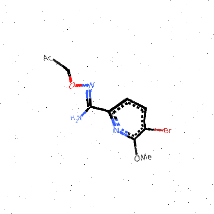 COc1nc(/C(N)=N/OCC(C)=O)ccc1Br